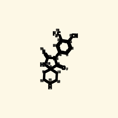 N#Cc1ccc(N2C(=O)C3(CCNCC3)NC2=S)cc1C(F)(F)F